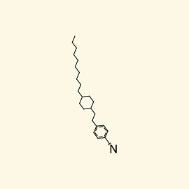 CCCCCCCCCCC1CCC(CCc2ccc(C#N)cc2)CC1